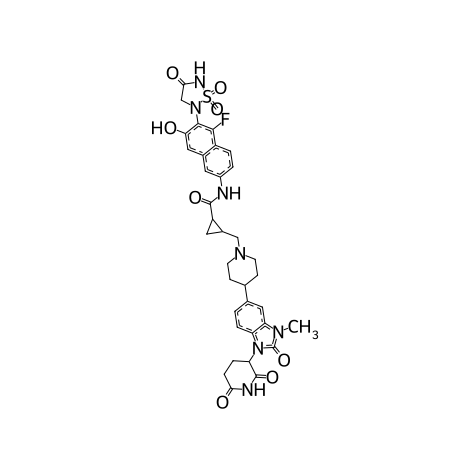 Cn1c(=O)n(C2CCC(=O)NC2=O)c2ccc(C3CCN(CC4CC4C(=O)Nc4ccc5c(F)c(N6CC(=O)NS6(=O)=O)c(O)cc5c4)CC3)cc21